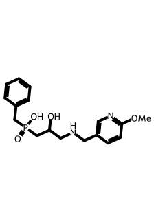 COc1ccc(CNCC(O)CP(=O)(O)Cc2ccccc2)cn1